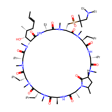 C/C=C/C[C@@H](C)[C@@H](O)[C@@H]1C(=O)N[C@H](CC)C(=O)N(C)[C@H](CS(=O)(=O)C(C)(C)CN(CC)CC)C(=O)N(C)[C@@H](CC(C)C)C(=O)N[C@H](C(C)C)C(=O)N(C)[C@@H]2CC(C)N(C2=O)[C@H](C)C(=O)N[C@@H](C)C(=O)N(C)[C@H](CC(C)C)C(=O)N(C)[C@H](CC(C)C)C(=O)N(C)[C@H](C(C)C)C(=O)N1C